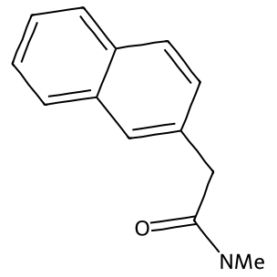 CNC(=O)Cc1ccc2ccccc2c1